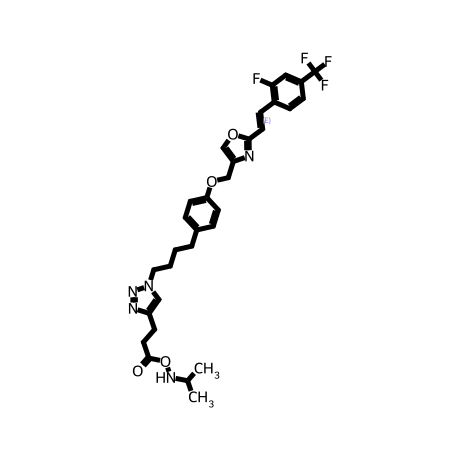 CC(C)NOC(=O)CCc1cn(CCCCc2ccc(OCc3coc(/C=C/c4ccc(C(F)(F)F)cc4F)n3)cc2)nn1